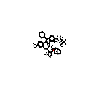 COc1ccc2c(c1)C=C(c1c(C(=O)N3C4CCC3CN(C)C4)cnn1C)Cn1c-2c(C2CCCCC2)c2ccc(C(=O)NS(=O)(=O)C(C)C)cc21